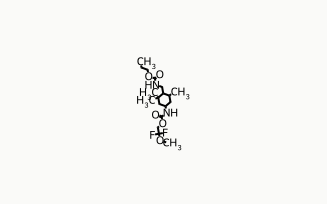 CCCOC(=O)NCC1C(C)CC(NC(=O)OCC(F)(F)OC)CC1(C)C